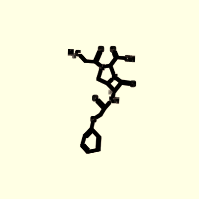 CCC(=O)N1CC2[C@H](NC(=O)COc3ccccc3)C(=O)N2C1C(=O)O